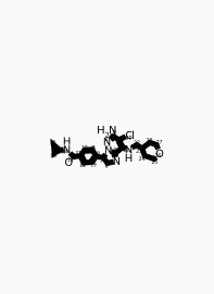 NC1=NN2C(=NCC2c2ccc(C(=O)NC3CC3)cc2)C(NCC2CCOCC2)=C1Cl